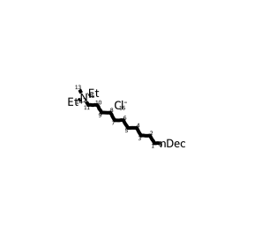 CCCCCCCCCCCCCCCCCCCCC[N+](C)(CC)CC.[Cl-]